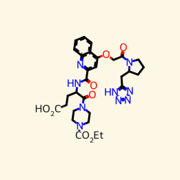 CCOC(=O)N1CCN(C(=O)C(CCC(=O)O)NC(=O)c2cc(OCC(=O)N3CCCC3Cc3nnn[nH]3)c3ccccc3n2)CC1